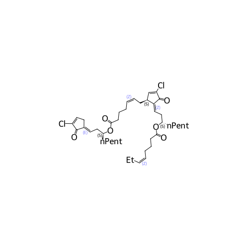 CC/C=C\CCCC(=O)O[C@H](C/C=C1\C(=O)C(Cl)=C[C@@H]1C/C=C\CCCC(=O)O[C@H](C/C=C1\CC=C(Cl)C1=O)CCCCC)CCCCC